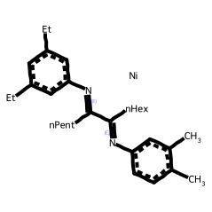 CCCCCCC(=N\c1ccc(C)c(C)c1)/C(CCCCC)=N/c1cc(CC)cc(CC)c1.[Ni]